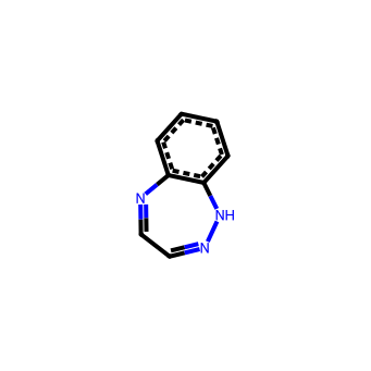 C1=NNc2ccccc2N=C1